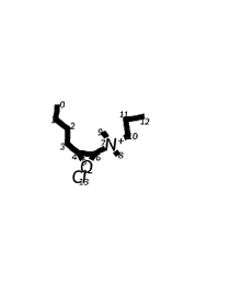 CCCCC1OC1[N+](C)(C)CCC.[Cl-]